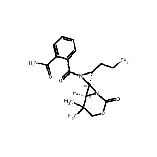 CCCC1N(C(=O)c2ccccc2C(N)=O)[C@@]12[C@H]1N2C(=O)OCC1(C)C